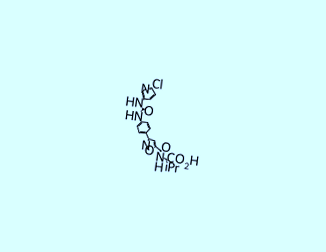 CC(C)C(NC(=O)c1cc(-c2ccc(NC(=O)Nc3ccc(Cl)nc3)cc2)no1)C(=O)O